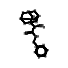 NC(C(=O)OCc1ccccc1)C12CC3CC(CC(C3)C1)C2